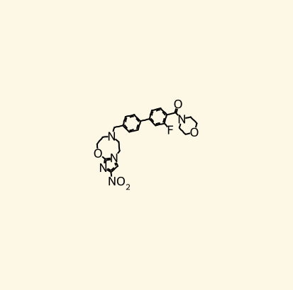 O=C(c1ccc(-c2ccc(CN3CCOc4nc([N+](=O)[O-])cn4CC3)cc2)cc1F)N1CCOCC1